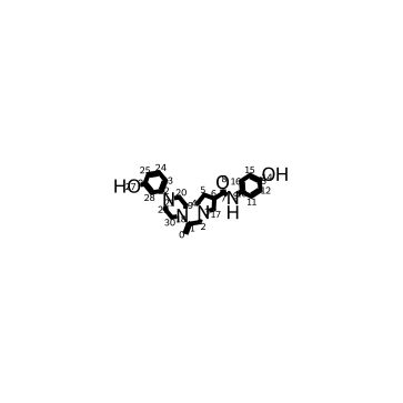 C=C(CN1CCC(C(=O)Nc2ccc(O)cc2)C1)N1CCN(c2cccc(O)c2)CC1